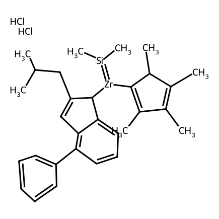 CC1=C(C)C(C)[C]([Zr]([CH]2C(CC(C)C)=Cc3c(-c4ccccc4)cccc32)=[Si](C)C)=C1C.Cl.Cl